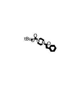 CC(C)(C)OC(=O)N1CCN(c2cc3ccccc3o2)CC1